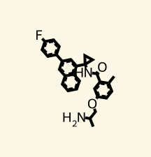 Cc1ccc(OCC(C)N)cc1C(=O)NC1(c2cc(-c3ccc(F)cc3)cc3ccccc23)CC1